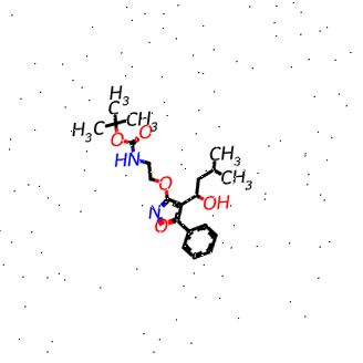 CC(C)CC(O)c1c(OCCNC(=O)OC(C)(C)C)noc1-c1ccccc1